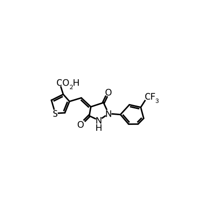 O=C1NN(c2cccc(C(F)(F)F)c2)C(=O)/C1=C/c1cscc1C(=O)O